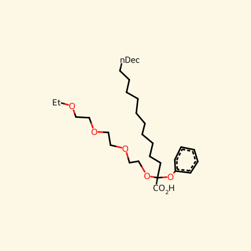 CCCCCCCCCCCCCCCCCCCCC(OCCOCCOCCOCC)(Oc1ccccc1)C(=O)O